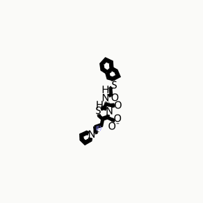 O=C(CSc1ccc2ccccc2c1)N[C@@H]1C(=O)N2C(C(=O)[O-])=C(/C=C/C[n+]3ccccc3)CS[C@H]12